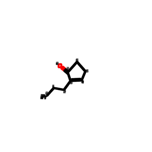 CC(C)CCC1=CCCC1=O